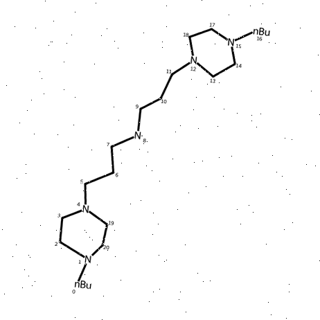 CCCCN1CCN(CCC[N]CCCN2CCN(CCCC)CC2)CC1